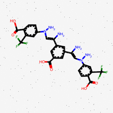 N/C(=C\N(N)c1ccc(C(=O)O)c(C(F)(F)F)c1)c1cc(C(=O)O)cc(/C(N)=C/N(N)c2ccc(C(=O)O)c(C(F)(F)F)c2)c1